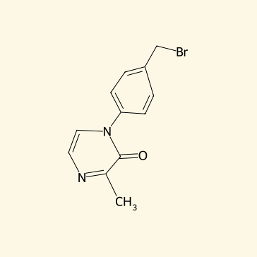 Cc1nccn(-c2ccc(CBr)cc2)c1=O